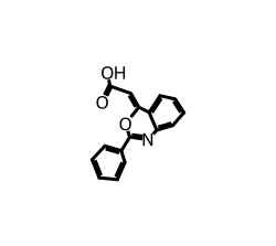 O=C(O)/C=C1\OC(c2ccccc2)=Nc2ccccc21